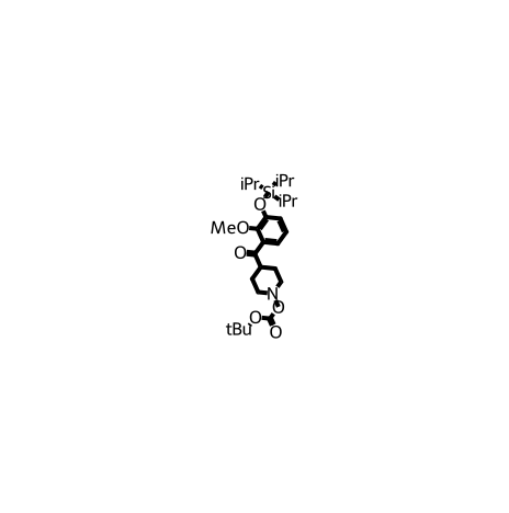 COc1c(O[Si](C(C)C)(C(C)C)C(C)C)cccc1C(=O)C1CCN(OC(=O)OC(C)(C)C)CC1